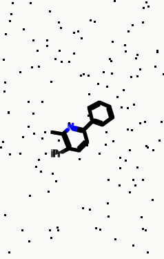 Cc1nc(-c2ccccc2)ccc1C(C)C